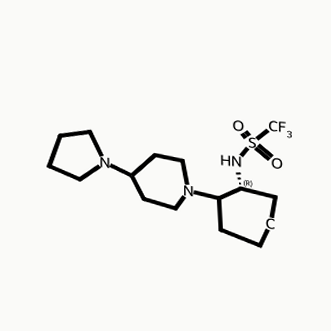 O=S(=O)(N[C@@H]1CCCCC1N1CCC(N2CCCC2)CC1)C(F)(F)F